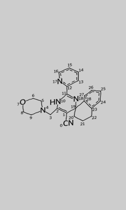 N#CC1=C(CN2CCOCC2)NC(c2ccccn2)=NC12CCCc1ccccc12